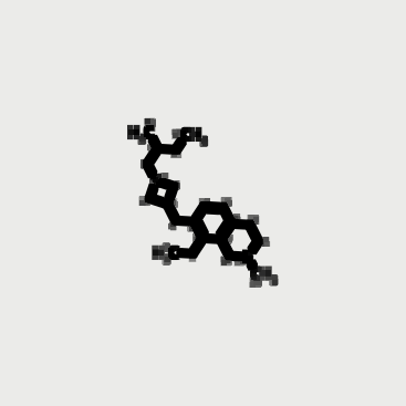 CCc1c(CC2CN(CC(C)CC)C2)ccc2c1CB(C)CC2